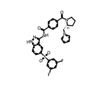 O=C(Nc1n[nH]c2ccc(S(=O)(=O)c3cc(F)cc(F)c3)cc12)c1ccc(C(=O)N2CCC[C@@H]2Cn2cccc2)cc1